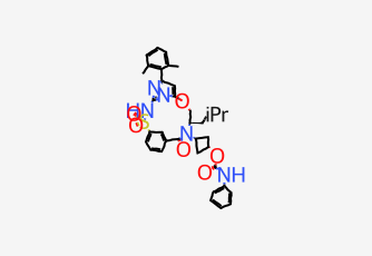 Cc1cccc(C)c1-c1cc2nc(n1)NS(=O)(=O)c1cccc(c1)C(=O)N([C@H]1C[C@@H](OC(=O)Nc3ccccc3)C1)[C@H](CC(C)C)CO2